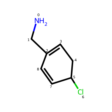 NCC1=CCC(Cl)C=C1